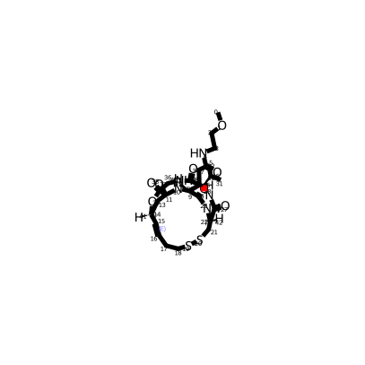 COCCNC(=O)CC[C@H]1NC(=O)C[C@H]2/C=C/CCSSC[C@@H](NC1=O)C(=O)N[C@H](C(C)C)C(=O)NCC(=O)O2